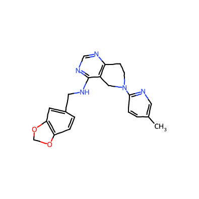 Cc1ccc(N2CCc3ncnc(NCc4ccc5c(c4)OCO5)c3C2)nc1